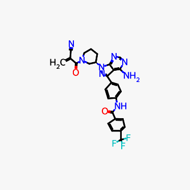 C=C(C#N)C(=O)N1CCC[C@@H](n2nc(-c3ccc(NC(=O)c4ccc(C(F)(F)F)cc4)cc3)c3c(N)ncnc32)C1